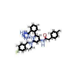 Cc1ccc(CC(=O)Nc2cc(-c3ccccc3-c3nnn[nH]3)nc(N(Cc3ccc(F)cc3)CC(C)C)c2)cc1